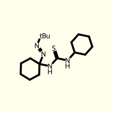 CC(C)(C)N=NC1(NC(=S)NC2CCCCC2)CCCCC1